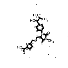 CC(C)C(O)c1ccc(N2C(=O)N(C)C(=O)C2COCc2ccc(C(=O)O)o2)cc1